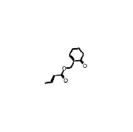 CC=CC(=O)OCC1=CCCCC1=O